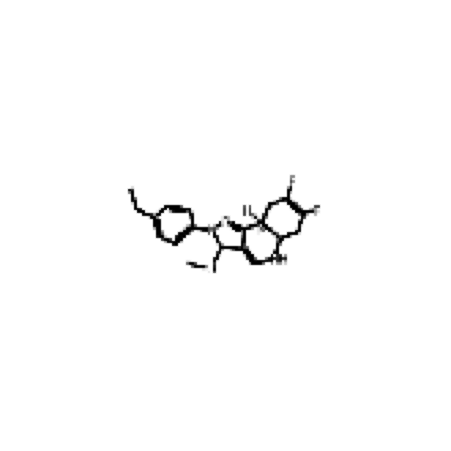 CCc1ccc(N2N=C3C(=CNC4CC(F)=C(F)C[C@@H]34)C2OC)cc1